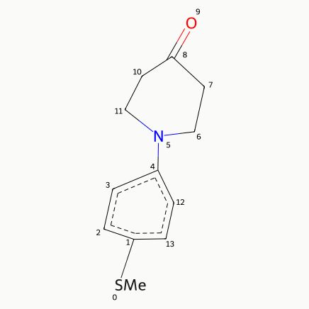 CSc1ccc(N2CCC(=O)CC2)cc1